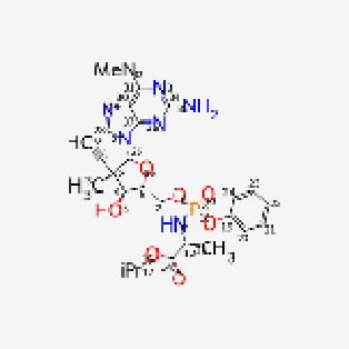 C#C[C@@]1(C)[C@H](O)[C@@H](CO[P@@](=O)(N[C@@H](C)C(=O)OC(C)C)Oc2ccccc2)O[C@H]1n1cnc2c(NC)nc(N)nc21